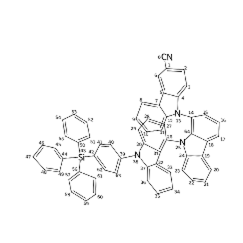 N#Cc1ccc2c(c1)c1ccccc1n2-c1cccc2c3ccccc3n(-c3cccc4c3c3ccccc3n4-c3ccc([Si](c4ccccc4)(c4ccccc4)c4ccccc4)cc3)c12